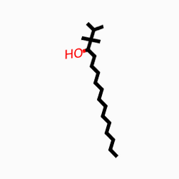 CCCCCCCCCCCCCC(O)C(C)(C)[C](C)C